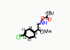 COC(CNOC(=O)C(C)(C)C)c1ccc(Cl)cc1